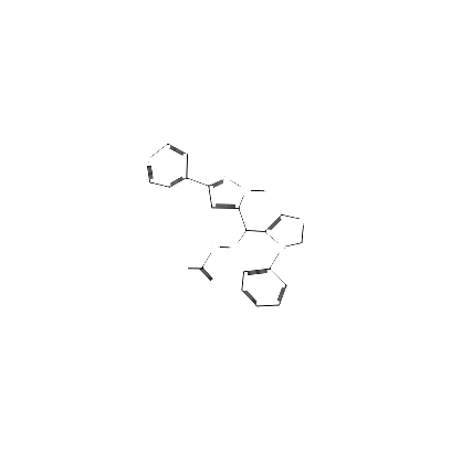 CCC(=O)NNC(C1=CSCN1c1ccccc1)c1cc(-c2ccncc2)nn1CC